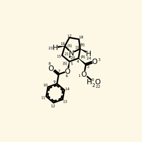 COC(=O)[C@H]1[C@@H](OC(=O)c2ccccc2)C[C@@H]2CC[C@H]1N2C.O